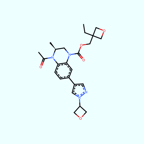 CCC1(COC(=O)N2C[C@H](C)N(C(C)=O)c3ccc(-c4cnn(C5COC5)c4)cc32)COC1